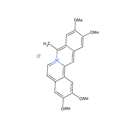 COc1cc2cc3c4cc(OC)c(OC)cc4cc[n+]3c(C)c2cc1OC.[Cl-]